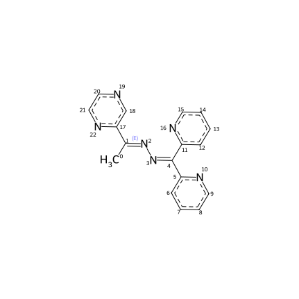 C/C(=N\N=C(c1ccccn1)c1ccccn1)c1cnccn1